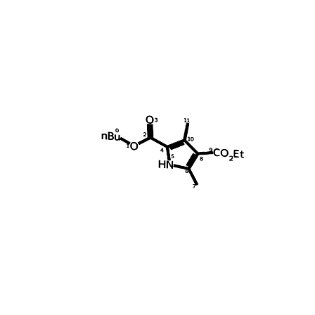 CCCCOC(=O)c1[nH]c(C)c(C(=O)OCC)c1C